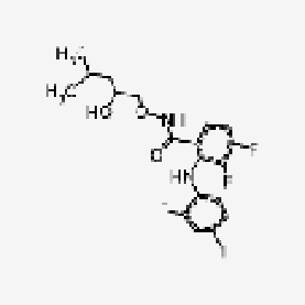 CC(C)CC(O)CONC(=O)c1ccc(F)c(F)c1Nc1ccc(I)cc1F